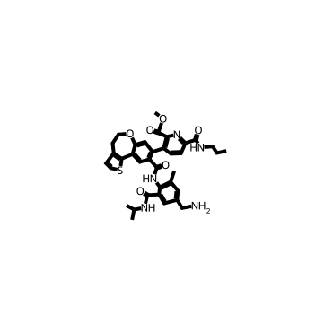 CCCNC(=O)c1ccc(-c2cc3c(cc2C(=O)Nc2c(C)cc(CN)cc2C(=O)NC(C)C)-c2sccc2CCO3)c(C(=O)OC)n1